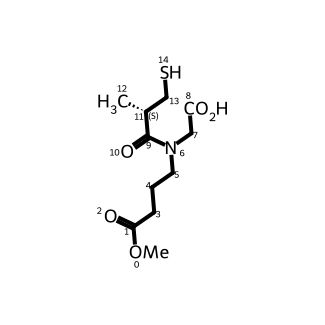 COC(=O)CCCN(CC(=O)O)C(=O)[C@H](C)CS